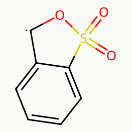 O=S1(=O)O[CH]c2ccccc21